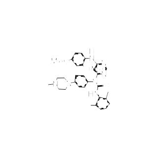 COc1ccc(Nc2cc(N(C(=O)Nc3c(C)cccc3C)c3ccc(N4CCN(C)CC4)cc3)ncn2)c(OC)c1